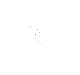 CNc1c(F)c(F)cc2c1[nH]c1ncc(-c3cnc(C4(C(=O)O)CC4)nc3)c(N(C)C)c12